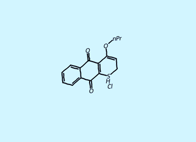 CCCOC1=CC[SH](Cl)C2=C1C(=O)c1ccccc1C2=O